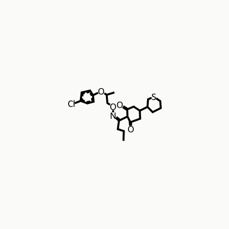 CCCC(=NOCC(C)Oc1ccc(Cl)cc1)C1C(=O)CC(C2CCCSC2)CC1=O